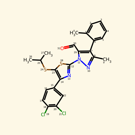 Cc1ccccc1-c1c(C)nn(-c2nc(-c3ccc(Cl)c(Cl)c3)c(SC(C)C)s2)c1C=O